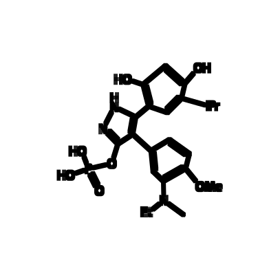 CCN(C)c1cc(-c2c(OP(=O)(O)O)n[nH]c2-c2cc(C(C)C)c(O)cc2O)ccc1OC